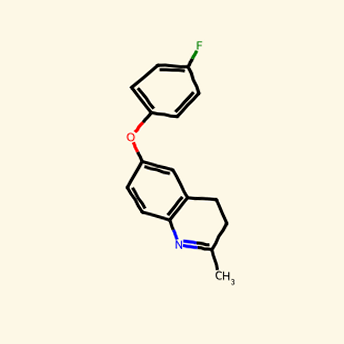 CC1=Nc2ccc(Oc3ccc(F)cc3)cc2CC1